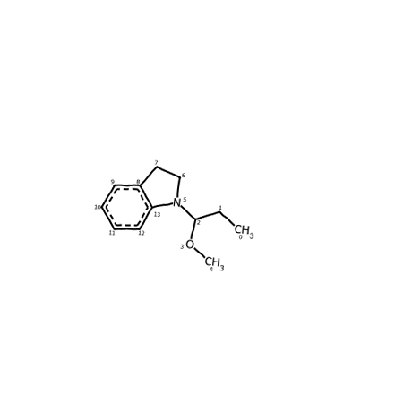 CCC(OC)N1CCc2ccccc21